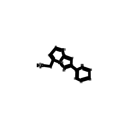 CCc1c[c]nc2cc(-c3ccccn3)nn12